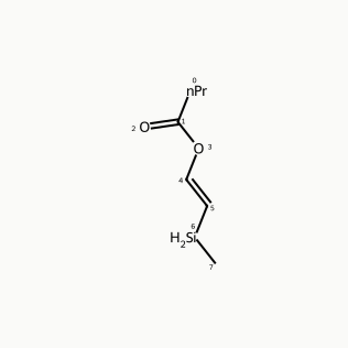 CCCC(=O)OC=C[SiH2]C